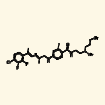 CCCC(CCCC(C)C)CCNC(=O)c1ccc(NC/C(C)=N/C=C(\C)c2ccc(Cl)c(F)c2F)cc1C